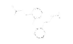 CC(=O)NCCc1ccccc1Cc1ccccc1CCC(N)=O